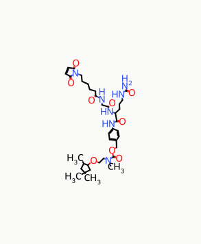 CC1CC(C)(C)CC1OCCN(C)C(=O)OCc1ccc(NC(=O)C(CCCNC(N)=O)NC(=O)CNC(=O)CCCCCN2C(=O)C=CC2=O)cc1